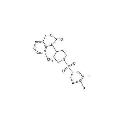 Cc1cccc2c1N(C1CCN(S(=O)(=O)c3ccc(F)c(F)c3)CC1)C(=O)OC2